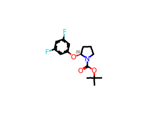 CC(C)(C)OC(=O)N1CCC[C@@H]1Oc1cc(F)cc(F)c1